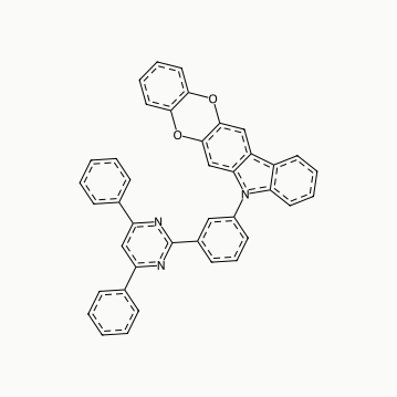 c1ccc(-c2cc(-c3ccccc3)nc(-c3cccc(-n4c5ccccc5c5cc6c(cc54)Oc4ccccc4O6)c3)n2)cc1